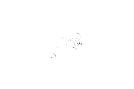 CCCN(CCCCc1ccc(C(F)(F)F)cc1)[C@@H](O)CC1=C(C(=O)O)N[C@H]2c3ccc(Cl)cc3C12